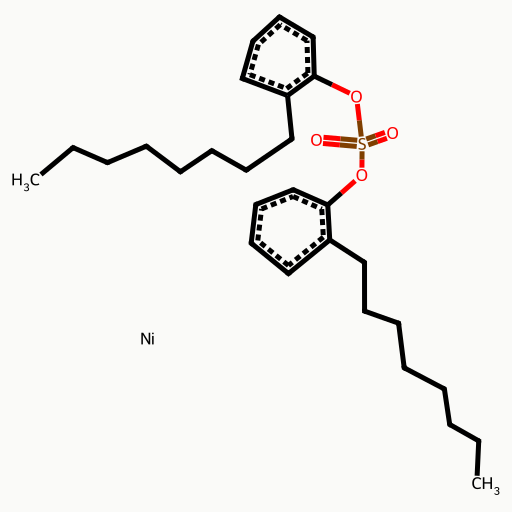 CCCCCCCCc1ccccc1OS(=O)(=O)Oc1ccccc1CCCCCCCC.[Ni]